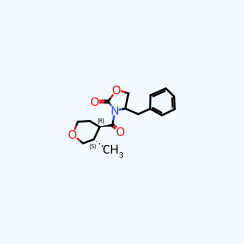 C[C@@H]1COCC[C@H]1C(=O)N1C(=O)OCC1Cc1ccccc1